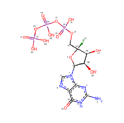 Nc1nc2c(ncn2C2O[C@](F)(COP(=O)(O)OP(=O)(O)OP(=O)(O)O)[C@@H](O)[C@H]2O)c(=O)[nH]1